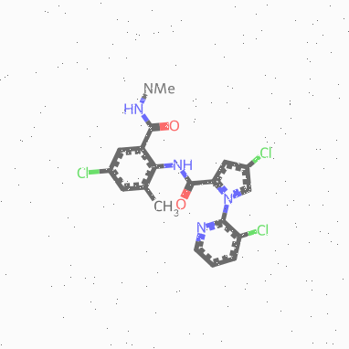 CNNC(=O)c1cc(Cl)cc(C)c1NC(=O)c1cc(Cl)cn1-c1ncccc1Cl